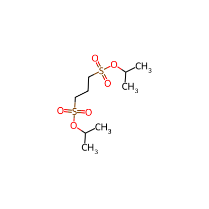 CC(C)OS(=O)(=O)CCCS(=O)(=O)OC(C)C